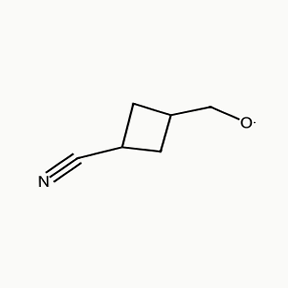 N#CC1CC(C[O])C1